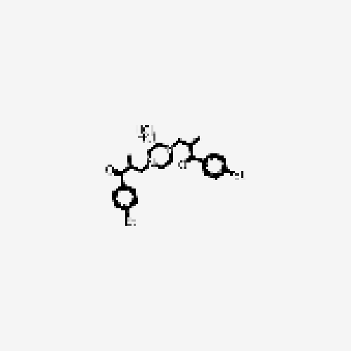 CCc1ccc(C(=O)C(C)CN2CCN(CC(C)C(=O)c3ccc(CC)cc3)CC2)cc1.Cl.Cl